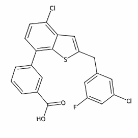 O=C(O)c1cccc(-c2ccc(Cl)c3cc(Cc4cc(F)cc(Cl)c4)sc23)c1